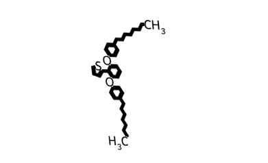 CCCCCCCCc1ccc(Oc2cccc(Oc3ccc(CCCCCCCC)cc3)c2-c2cccs2)cc1